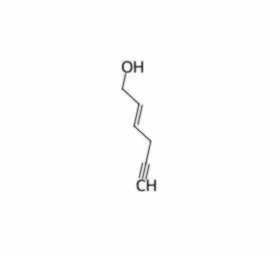 C#CCC=CCO